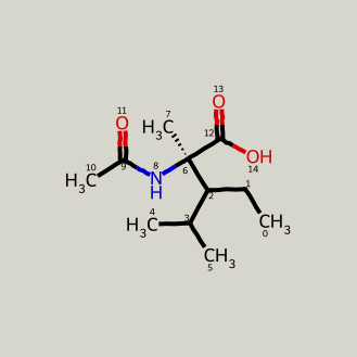 CCC(C(C)C)[C@@](C)(NC(C)=O)C(=O)O